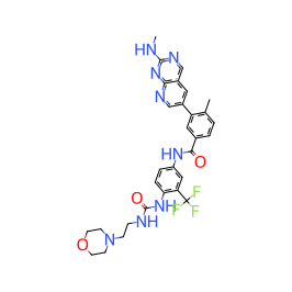 CNc1ncc2cc(-c3cc(C(=O)Nc4ccc(NC(=O)NCCN5CCOCC5)c(C(F)(F)F)c4)ccc3C)cnc2n1